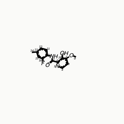 COc1ccnc(C(=O)Nc2ccc(C)cc2F)c1O